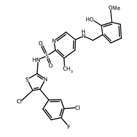 COc1cccc(CNc2cnc(S(=O)(=O)Nc3nc(-c4ccc(F)c(Cl)c4)c(Cl)s3)c(C)c2)c1O